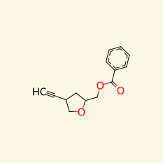 C#CC1COC(COC(=O)c2ccccc2)C1